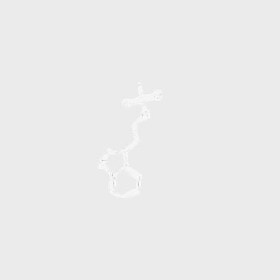 CS(=O)(=O)OCCc1csc2ccccc12